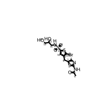 CC(=O)Nc1ncc(Cc2cc(S(=O)(=O)NCC(O)CO)sc2Br)s1